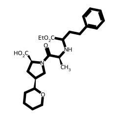 CCOC(=O)C(CCc1ccccc1)N[C@@H](C)C(=O)N1C[C@@H](C2CCCCO2)C[C@H]1C(=O)O